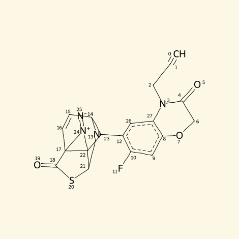 C#CCN1C(=O)COc2cc(F)c(N3C4C=CC56C(=O)SC3C5(C4)[N+]6=[N-])cc21